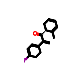 C=C(C(=O)[C@@H]1CC=CC=C1C)C1=CC=C(I)CC1